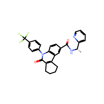 C[C@H](NC(=O)c1ccc2c(c1)c1c(c(=O)n2-c2ccc(C(F)(F)F)cc2)CCCC1)c1ccccn1